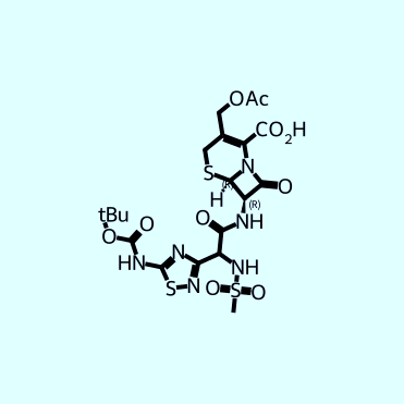 CC(=O)OCC1=C(C(=O)O)N2C(=O)[C@@H](NC(=O)C(NS(C)(=O)=O)c3nsc(NC(=O)OC(C)(C)C)n3)[C@H]2SC1